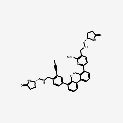 CC#Cc1cc(-c2cccc(-c3cccc(-c4ccc(CNC[C@@H]5CCC(=O)N5)c(OC)n4)c3Cl)c2Cl)ccc1CNC[C@@H]1CCC(=O)N1